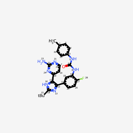 Cc1ccc(NC(=O)Nc2cc(-c3nc(C(C)(C)C)[nH]c3-c3ccnc(N)n3)ccc2F)cc1